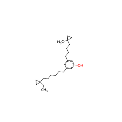 CCC1(CCCCCCc2cc(O)cc(CCCCC3(C)CC3)c2)CC1